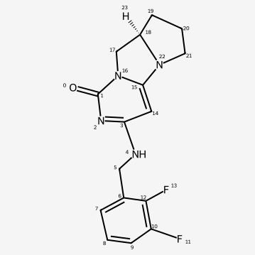 O=c1nc(NCc2cccc(F)c2F)cc2n1C[C@H]1CCCN21